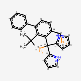 CC(C)(C)c1c(-c2ccccc2)ccc(CP)c1C(P)(c1ccc[nH]1)c1ccc[nH]1